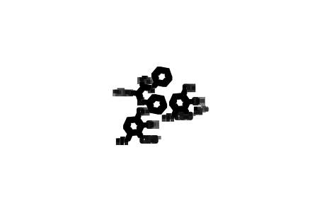 CCCCCCC(=Nc1ccccc1)C(CCCC)=Nc1ccccc1.CCCc1ccc(O)c(O)c1C(=O)[O-].CCCc1ccc(O)c(O)c1C(=O)[O-].[Ni+2]